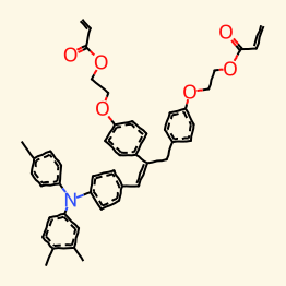 C=CC(=O)OCCOc1ccc(CC(=Cc2ccc(N(c3ccc(C)cc3)c3ccc(C)c(C)c3)cc2)c2ccc(OCCOC(=O)C=C)cc2)cc1